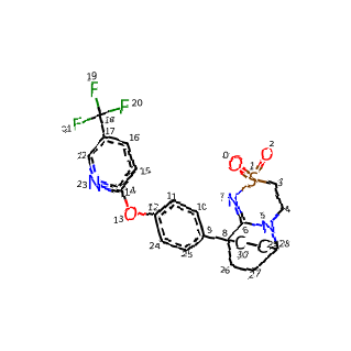 O=S1(=O)CCN2C(=N1)C1(c3ccc(Oc4ccc(C(F)(F)F)cn4)cc3)CCC2CC1